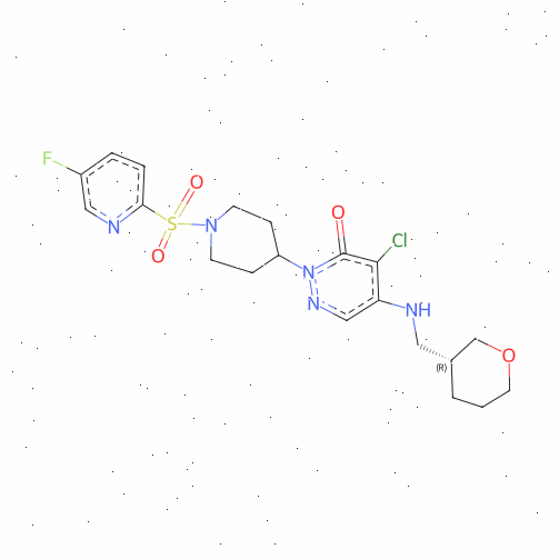 O=c1c(Cl)c(NC[C@H]2CCCOC2)cnn1C1CCN(S(=O)(=O)c2ccc(F)cn2)CC1